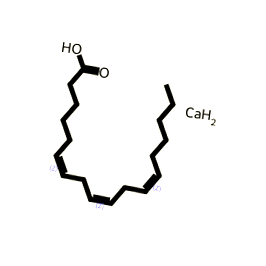 CCCCC/C=C\C/C=C\C/C=C\CCCCC(=O)O.[CaH2]